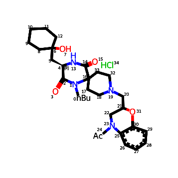 CCCCN1C(=O)[C@@H](CC2(O)CCCCC2)NC(=O)C12CCN(CC1CN(C(C)=O)c3ccccc3O1)CC2.Cl